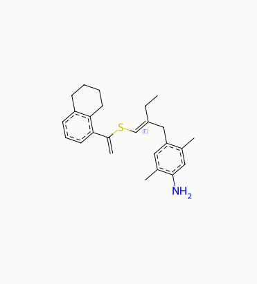 C=C(S/C=C(\CC)Cc1cc(C)c(N)cc1C)c1cccc2c1CCCC2